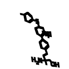 Cc1ccc(Sc2ccc(-c3ccc(CCC(C)(N)CO)cc3)c(F)c2)cc1.Cl